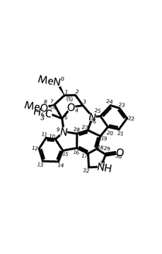 CN[C@H]1CC2OC(C)([C@H]1OC)n1c3ccccc3c3c4c(c5c6ccccc6n2c5c31)C(=O)NC4